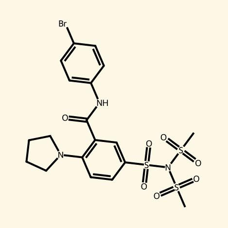 CS(=O)(=O)N(S(C)(=O)=O)S(=O)(=O)c1ccc(N2CCCC2)c(C(=O)Nc2ccc(Br)cc2)c1